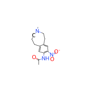 CC(=O)Nc1cc2c(cc1[N+](=O)[O-])CCN(C)CCC2